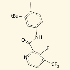 Cc1ccc(NC(=O)c2nccc(C(F)(F)F)c2F)cc1C(C)(C)C